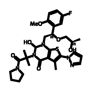 COc1ccc(F)cc1[C@H](CN1c2sc(-n3cccn3)c(C)c2C(=O)N(C(C)(C)C(=O)N2CCCC2)C1O)OC[C@@H](C)O